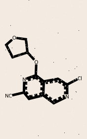 N#Cc1cc2cnc(Cl)cc2c(OC2CCOC2)n1